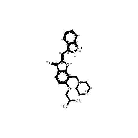 CC(C)COc1ccc2c(c1CN1CCNCC1)O/C(=C\c1n[nH]c3ccccc13)C2=O